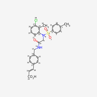 Cc1ccc(S(=O)(=O)N(CC(=O)NCc2ccc(/C=C/C(=O)O)cc2)c2cccc(Cl)c2C)cc1